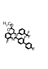 COC(=O)CC1c2cccc(F)c2N=C(c2ccc(-c3ccc(F)cc3)cc2)N1c1cccc(C(F)(F)F)c1